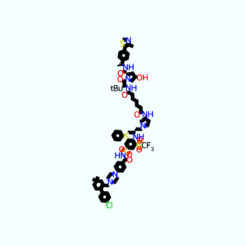 Cc1ncsc1-c1ccc([C@H](C)NC(=O)[C@@H]2C[C@@H](O)CN2C(=O)[C@@H](NC(=O)CCCCCC(=O)N[C@H]2CCN(CC[C@H](CSc3ccccc3)Nc3ccc(S(=O)(=O)NC(=O)c4ccc(N5CCN(CC6=C(c7ccc(Cl)cc7)CCC(C)(C)C6)CC5)cc4)cc3S(=O)(=O)C(F)(F)F)C2)C(C)(C)C)cc1